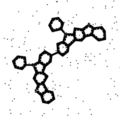 c1ccc(-n2c3ccc(-c4ccc5c6cc7c(cc6n(-c6ccccc6)c5c4)sc4ccccc47)cc3c3cc4c(cc32)sc2ccccc24)cc1